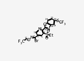 CCS(=O)(=O)c1cc(/C(Br)=N/OCC(F)(F)F)cnc1-c1nc2cc(SC(F)(F)F)ccc2o1